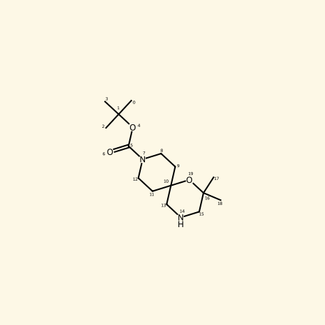 CC(C)(C)OC(=O)N1CCC2(CC1)CNCC(C)(C)O2